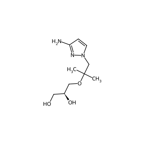 CC(C)(Cn1ccc(N)n1)OC[C@@H](O)CO